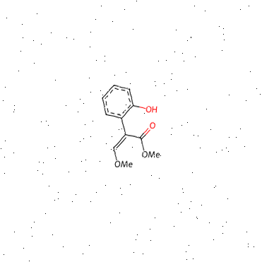 CO/C=C(\C(=O)OC)c1ccccc1O